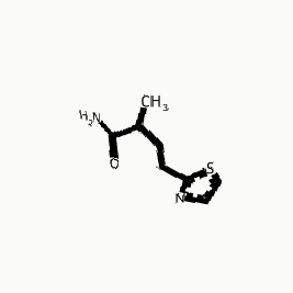 CC(C[CH]c1nccs1)C(N)=O